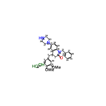 COc1ccc(CC2CC(=O)N(Cc3ccccc3)c3ccc(N4CCNCC4)cc32)cc1OC.Cl.Cl